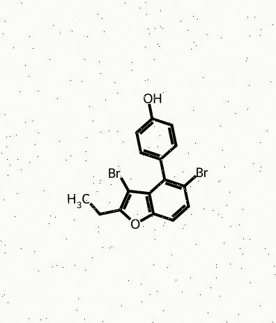 CCc1oc2ccc(Br)c(-c3ccc(O)cc3)c2c1Br